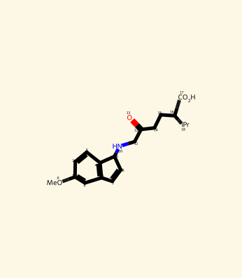 COc1ccc2c(c1)C=CC2NCC(=O)CCC(C(=O)O)C(C)C